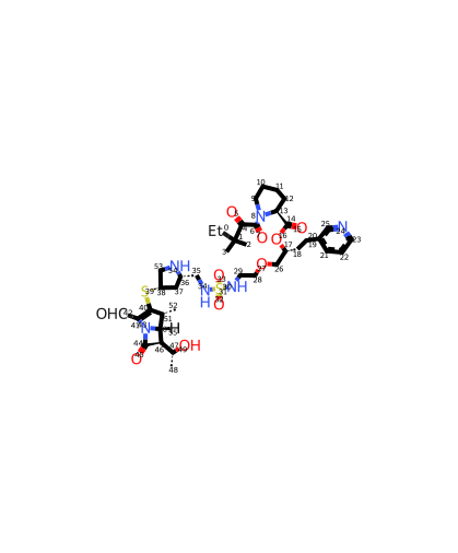 CCC(C)(C)C(=O)C(=O)N1CCCC[C@H]1C(=O)O[C@H](CCc1cccnc1)COCCNS(=O)(=O)NC[C@@H]1C[C@H](SC2=C(C=O)N3C(=O)[C@H]([C@@H](C)O)[C@H]3[C@H]2C)CN1